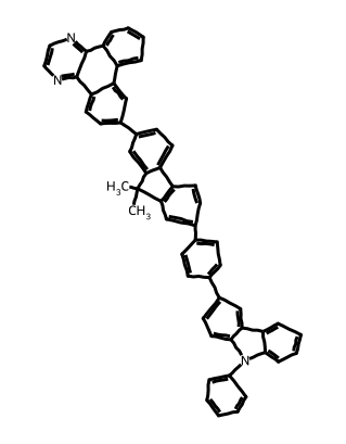 CC1(C)c2cc(-c3ccc(-c4ccc5c(c4)c4ccccc4n5-c4ccccc4)cc3)ccc2-c2ccc(-c3ccc4c(c3)c3ccccc3c3nccnc43)cc21